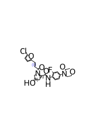 O=C(Nc1ccc(N2CCOCC2=O)cc1F)[C@H]1C[C@@H](O)CN1C(=O)/C=C/c1ccc(Cl)o1